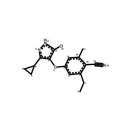 CCc1cc(Oc2c(C3CC3)n[nH]c2Cl)cc(C)c1C#N